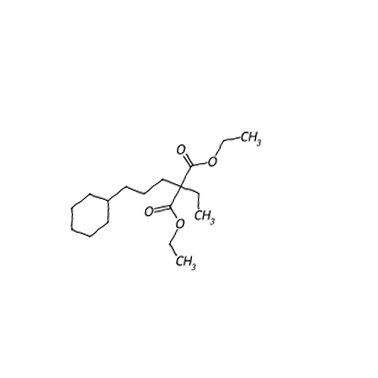 CCOC(=O)C(CC)(CCCC1CCCCC1)C(=O)OCC